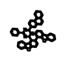 c1ccc(C2=NC(c3c(-c4cccc5c4oc4ccccc45)ccc4oc5ccccc5c34)NC(c3ccc4c(ccc5ccccc54)c3)=N2)cc1